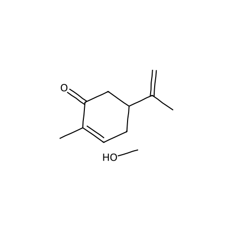 C=C(C)C1CC=C(C)C(=O)C1.CO